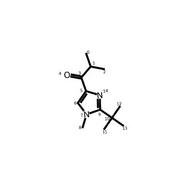 CC(C)C(=O)c1cn(C)c(C(C)(C)C)n1